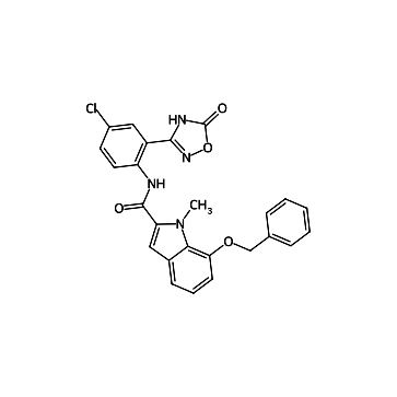 Cn1c(C(=O)Nc2ccc(Cl)cc2-c2noc(=O)[nH]2)cc2cccc(OCc3ccccc3)c21